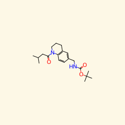 CC(C)CC(=O)N1CCCc2cc(CNC(=O)OC(C)(C)C)ccc21